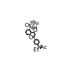 CCN(C(C)=O)c1ccc(-c2cc(=O)c3c(NC(=O)C(C)(C)C)cccc3o2)cc1